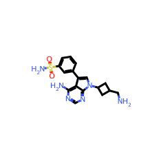 NCC1CC(n2cc(-c3cccc(S(N)(=O)=O)c3)c3c(N)ncnc32)C1